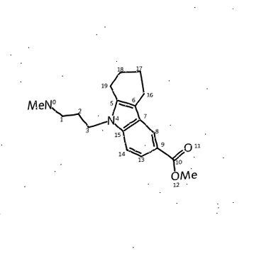 CNCCCn1c2c(c3cc(C(=O)OC)ccc31)CCCC2